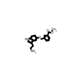 COC(=O)c1cccc(COc2ccc3[nH]cc(CCN)c3c2)c1